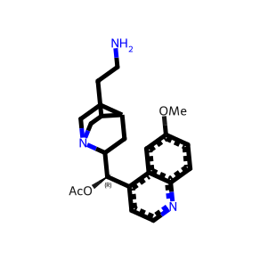 COc1ccc2nccc([C@@H](OC(C)=O)C3CC4CCN3CC4CCN)c2c1